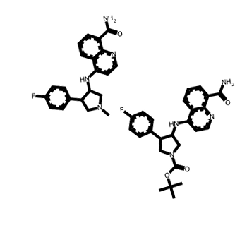 CC(C)(C)OC(=O)N1CC(Nc2ccnc3c(C(N)=O)cccc23)C(c2ccc(F)cc2)C1.CN1CC(Nc2ccnc3c(C(N)=O)cccc23)C(c2ccc(F)cc2)C1